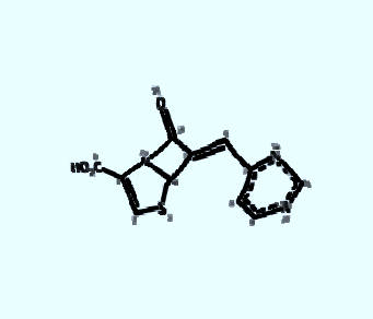 O=C(O)C1=CSC2C(=Cc3ccncn3)C(=O)N12